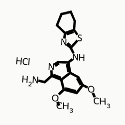 COc1cc(OC)c2c(CN)ncc(Nc3nc4c(s3)CCCC4)c2c1.Cl